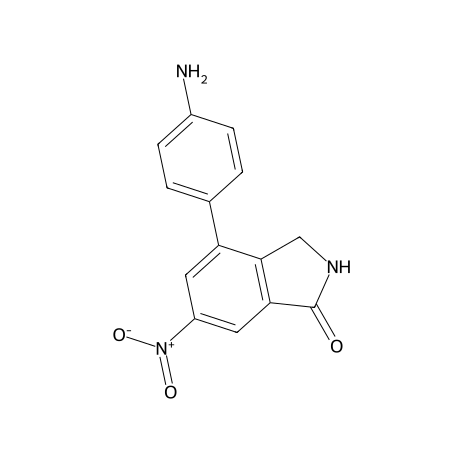 Nc1ccc(-c2cc([N+](=O)[O-])cc3c2CNC3=O)cc1